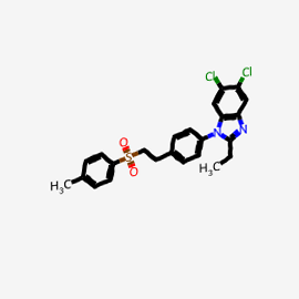 CCc1nc2cc(Cl)c(Cl)cc2n1-c1ccc(CCS(=O)(=O)c2ccc(C)cc2)cc1